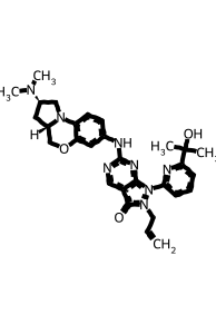 C=CCn1c(=O)c2cnc(Nc3ccc4c(c3)OC[C@@H]3C[C@H](N(C)C)CN43)nc2n1-c1cccc(C(C)(C)O)n1